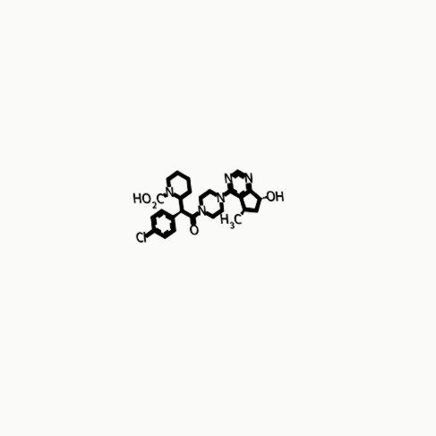 C[C@@H]1C[C@@H](O)c2ncnc(N3CCN(C(=O)[C@@H](c4ccc(Cl)cc4)C4CCCCN4C(=O)O)CC3)c21